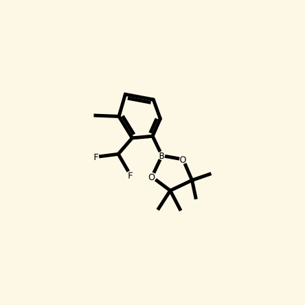 Cc1cccc(B2OC(C)(C)C(C)(C)O2)c1C(F)F